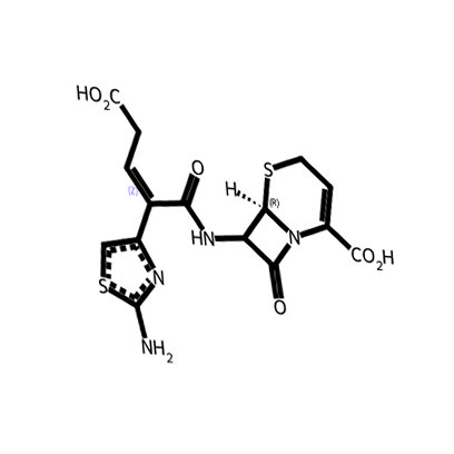 Nc1nc(/C(=C/CC(=O)O)C(=O)NC2C(=O)N3C(C(=O)O)=CCS[C@H]23)cs1